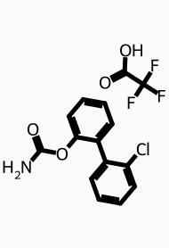 NC(=O)Oc1ccccc1-c1ccccc1Cl.O=C(O)C(F)(F)F